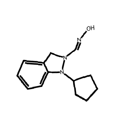 ON=CN1Cc2ccccc2N1C1CCCC1